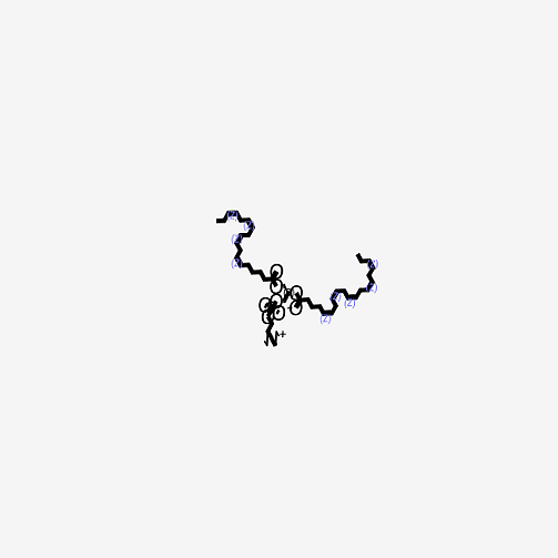 CC/C=C\C/C=C\C/C=C\C/C=C\C/C=C\CCCC(=O)O[C@H](COC(=O)CCCC/C=C\C/C=C\C/C=C\C/C=C\CC)COP(=O)([O-])OCC[N+](C)(C)C